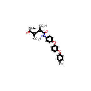 CNC(=O)C1C(C(=O)O)C1C1C(C(=O)O)C1C(=O)Nc1ccc(Oc2cccc(Oc3ccc(C)cc3)c2)cc1